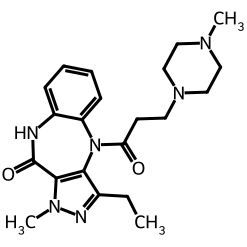 CCc1nn(C)c2c1N(C(=O)CCN1CCN(C)CC1)c1ccccc1NC2=O